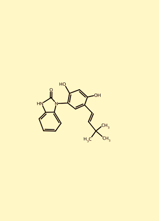 CC(C)(C)C=Cc1cc(-n2c(=O)[nH]c3ccccc32)c(O)cc1O